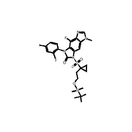 Cn1cnc2c(F)c3c(cc21)n(S(=O)(=O)C1(CCO[Si](C)(C)C(C)(C)C)CC1)c(=O)n3-c1ccc(I)cc1F